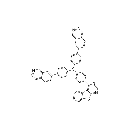 c1ccc2c(c1)sc1ncnc(-c3ccc(N(c4ccc(-c5ccc6cnncc6c5)cc4)c4ccc(-c5ccc6cnncc6c5)cc4)cc3)c12